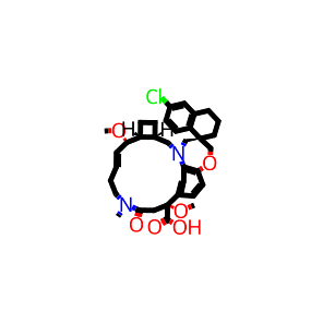 CO[C@@H]1/C=C/CCN(C)C(=O)C[C@@](OC)(C(=O)O)c2ccc3c(c2)N(C[C@@H]2CC[C@H]21)C[C@@]1(CCCc2cc(Cl)ccc21)CO3